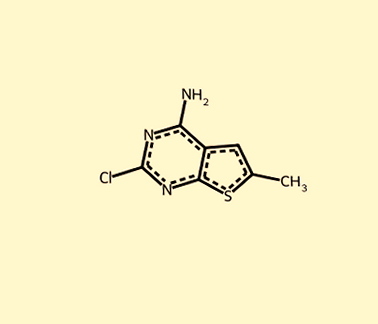 Cc1cc2c(N)nc(Cl)nc2s1